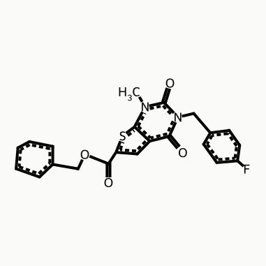 Cn1c(=O)n(Cc2ccc(F)cc2)c(=O)c2cc(C(=O)OCc3ccccc3)sc21